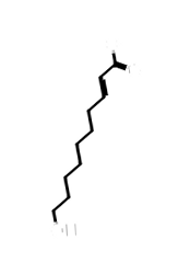 [O]C(=O)C=CCCCCCCCO